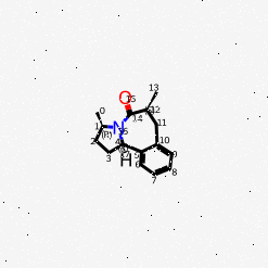 C[C@@H]1CC[C@@H]2c3ccccc3C[C@H](C)C(=O)N12